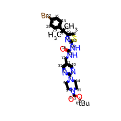 CC(C)(C)OC(=O)N1CCN(c2ncc(CNC(=O)Nc3nc(C(C)(C)c4ccc(Br)cc4)cs3)cn2)CC1